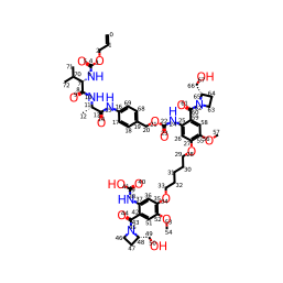 C=CCOC(=O)N[C@H](C(=O)N[C@@H](C)C(=O)Nc1ccc(COC(=O)Nc2cc(OCCCCCOc3cc(NC(=O)O)c(C(=O)N4CC[C@H]4CO)cc3OC)c(OC)cc2C(=O)N2CC[C@H]2CO)cc1)C(C)C